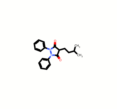 CC(C)CCC1C(=O)N(c2ccccc2)N(c2ccccc2)C1=O